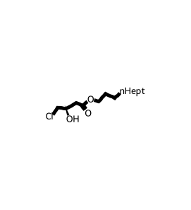 CCCCCCCCCCOC(=O)C[C@@H](O)CCl